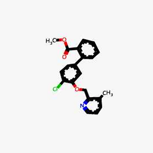 COC(=O)c1ccccc1-c1ccc(Cl)c(OCc2ncccc2C)c1